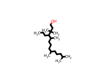 CCCC(C(C)CCCC(C)CCCC(C)C)C(C)(C)CCO